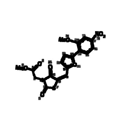 COC(=O)CN1C(=O)SC(=Cc2ccc(-c3ccc([N+](=O)[O-])cc3OC)o2)C1=O